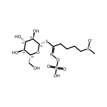 C[S+]([O-])CCCCC(=NOS(=O)(=O)O)S[C@@H]1O[C@H](CO)[C@@H](O)[C@H](O)[C@H]1O